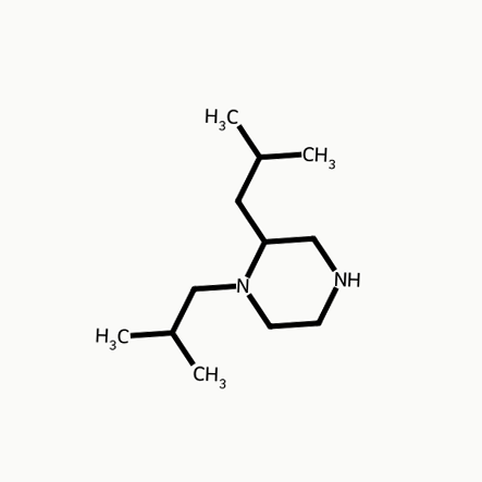 CC(C)CC1CNCCN1CC(C)C